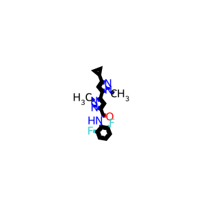 Cn1nc(C(=O)Nc2c(F)cccc2F)cc1-c1cc(C2CC2)nn1C